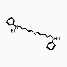 CCN(CCCC=CSC=CCCCN(CC)c1ccccc1)c1ccccc1